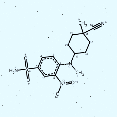 CN(c1ccc(S(N)(=O)=O)cc1[N+](=O)[O-])C1CCC(C)(C#N)CC1